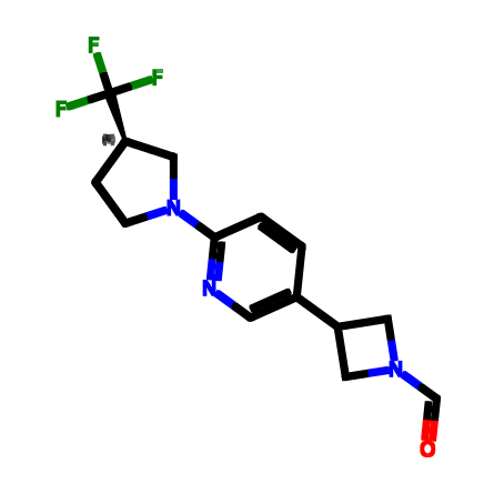 O=CN1CC(c2ccc(N3CC[C@@H](C(F)(F)F)C3)nc2)C1